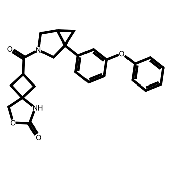 O=C1NC2(CO1)CC(C(=O)N1CC3CC3(c3cccc(Oc4ccccc4)c3)C1)C2